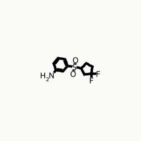 Nc1cccc(S(=O)(=O)C2CCC(F)(F)C2)c1